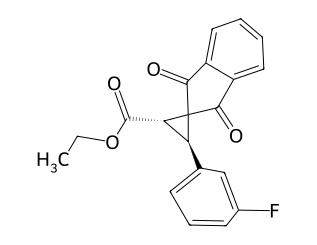 CCOC(=O)[C@H]1[C@H](c2cccc(F)c2)C12C(=O)c1ccccc1C2=O